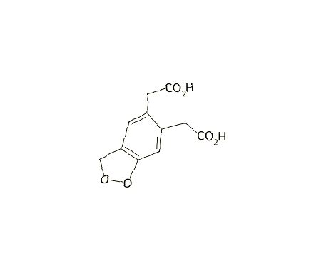 O=C(O)Cc1cc2c(cc1CC(=O)O)OOC2